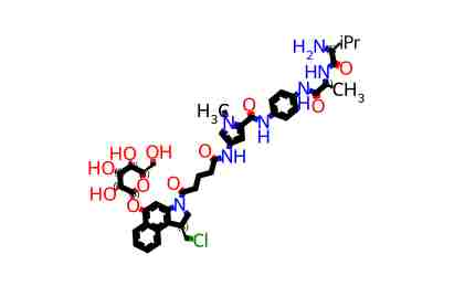 CC(C)[C@H](N)C(=O)N[C@@H](C)C(=O)Nc1ccc(NC(=O)c2cc(NC(=O)CCCC(=O)N3C[C@@H](CCl)c4c3cc(O[C@@H]3O[C@H](CO)[C@H](O)[C@H](O)[C@H]3O)c3ccccc43)cn2C)cc1